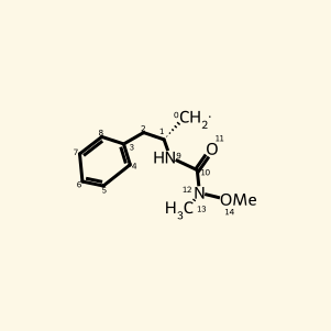 [CH2][C@@H](Cc1ccccc1)NC(=O)N(C)OC